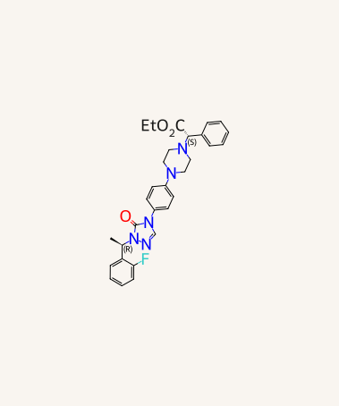 CCOC(=O)[C@H](c1ccccc1)N1CCN(c2ccc(-n3cnn([C@H](C)c4ccccc4F)c3=O)cc2)CC1